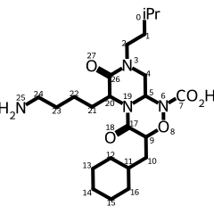 CC(C)CCN1CC2N(C(=O)O)OC(CC3CCCCC3)C(=O)N2C(CCCCN)C1=O